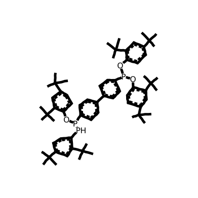 CC(C)(C)c1ccc(OP(Oc2ccc(C(C)(C)C)cc2C(C)(C)C)c2ccc(-c3ccc(P(Oc4ccc(C(C)(C)C)cc4C(C)(C)C)Pc4ccc(C(C)(C)C)cc4C(C)(C)C)cc3)cc2)c(C(C)(C)C)c1